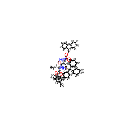 CC(C)C[C@H](NC(=O)[C@H](CSC(c1ccccc1)(c1ccccc1)c1ccccc1)NC(=O)OCC1c2ccccc2-c2ccccc21)B1O[C@@H]2C[C@@H]3C[C@@H](C3(C)C)[C@]2(C)O1